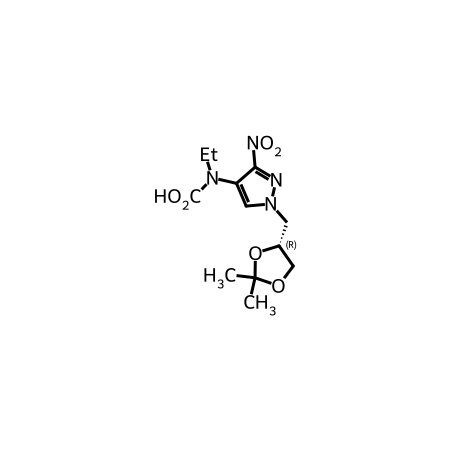 CCN(C(=O)O)c1cn(C[C@@H]2COC(C)(C)O2)nc1[N+](=O)[O-]